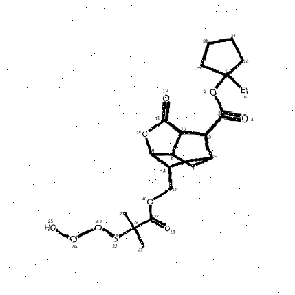 CCC1(OC(=O)C2C3CC4C(OC(=O)C42)C3COC(=O)C(C)(C)SOOO)CCCC1